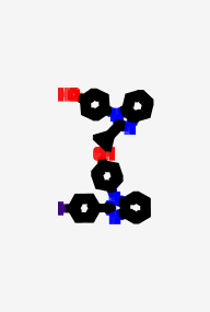 Oc1ccc(-n2c(-c3ccc(I)cc3)nc3ccccc32)cc1.Oc1ccc(-n2c(C3CC3)nc3ccccc32)cc1